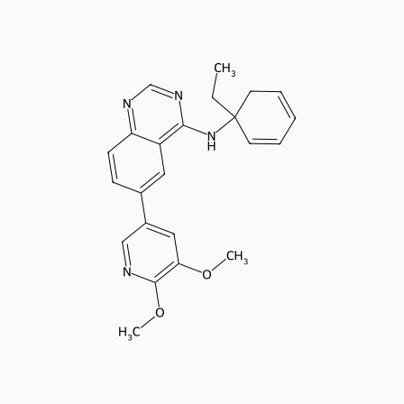 CCC1(Nc2ncnc3ccc(-c4cnc(OC)c(OC)c4)cc23)C=CC=CC1